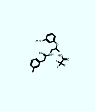 COc1cccc(OC(C)CNC(=N)Cc2cccc(C)c2)c1.O=C(O)C(F)(F)F